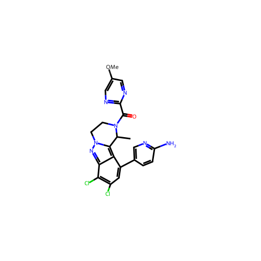 COc1cnc(C(=O)N2CCn3nc4c(Cl)c(Cl)cc(-c5ccc(N)nc5)c4c3C2C)nc1